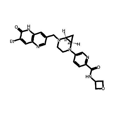 CCc1cc2ncc(CN3CCN(c4ccc(C(=O)NC5COC5)nc4)[C@@H]4C[C@@H]43)cc2[nH]c1=O